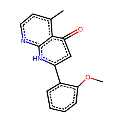 COc1ccccc1-c1cc(=O)c2c(C)ccnc2[nH]1